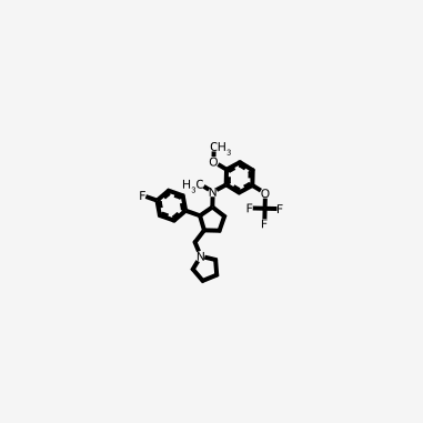 COc1ccc(OC(F)(F)F)cc1N(C)C1CCC(CN2CCCC2)C1c1ccc(F)cc1